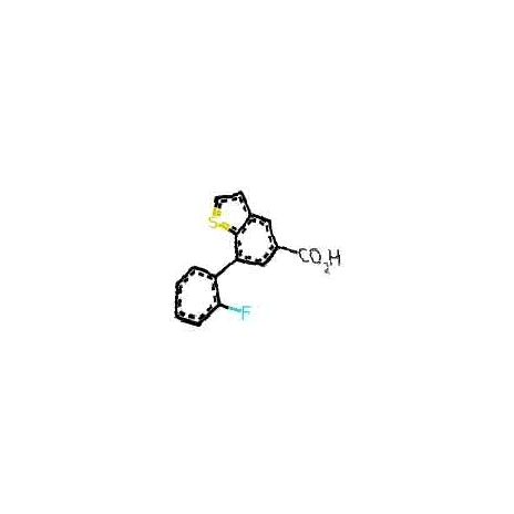 O=C(O)c1cc(-c2ccccc2F)c2sccc2c1